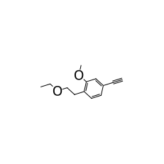 C#Cc1ccc(CCOCC)c(OC)c1